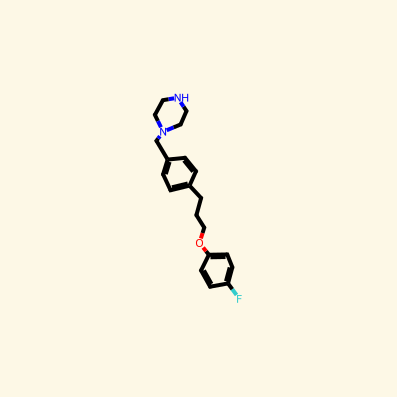 Fc1ccc(OCCCc2ccc(CN3CCNCC3)cc2)cc1